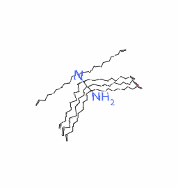 C=CCCCCCCCCN(CCCCCCCCC=C)C(CCCCCCCCC=C)(CCCCCCCCC=C)C(CCCCCCCCC=C)(CCCCCCCCC=C)C(N)(CCCCCCCCC=C)CCCCCCCCC=C